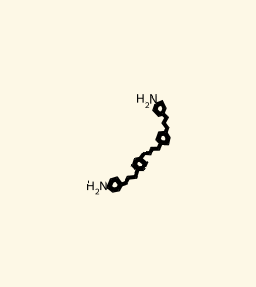 Nc1ccc(CCCc2ccc(CCCCc3ccc(CCCc4ccc(N)cc4)cc3)cc2)cc1